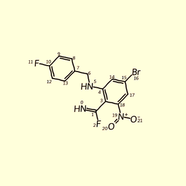 N=C(F)c1c(NCc2ccc(F)cc2)cc(Br)cc1[N+](=O)[O-]